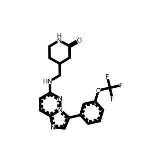 O=C1CC(CNc2ccc3ncc(-c4cccc(OC(F)(F)F)c4)n3n2)CCN1